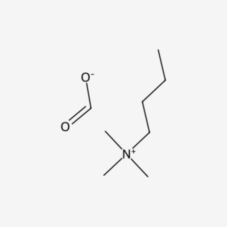 CCCC[N+](C)(C)C.O=C[O-]